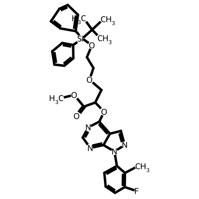 COC(=O)C(COCCO[Si](c1ccccc1)(c1ccccc1)C(C)(C)C)Oc1ncnc2c1cnn2-c1cccc(F)c1C